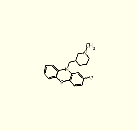 CN1CCCC(CN2c3ccccc3Sc3ccc(Cl)cc32)C1